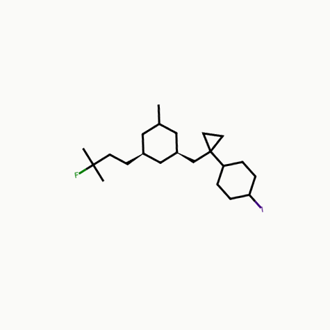 CC1C[C@@H](CC2(C3CCC(I)CC3)CC2)C[C@@H](CCC(C)(C)F)C1